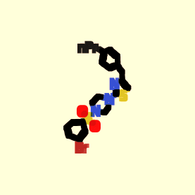 CCCc1ccc(Cc2csc(N3CCN(S(=O)(=O)c4cccc(Br)c4)CC3)n2)cc1